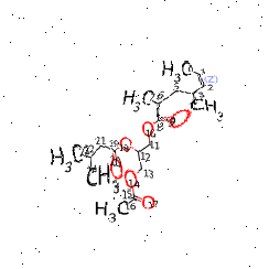 C/C=C\C(C)CC(C)C(=O)OCC(COC(C)=O)OC(=O)CC(C)C